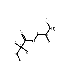 [CH2-][NH2+]C(C)COC(=O)C(C)(C)CC